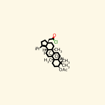 CC(=O)O[C@H]1CC[C@@]2(C)[C@@H](CC[C@]3(C)[C@]2(C)CC[C@@H]2C4=C(C(C)C)CC[C@]4(CC(=O)Cl)CC[C@]23C)C1(C)C